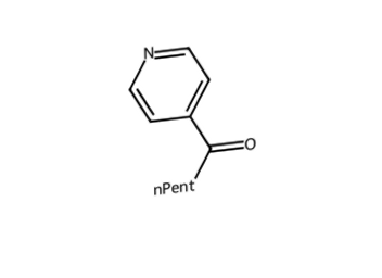 CCCCCC(=O)c1ccncc1